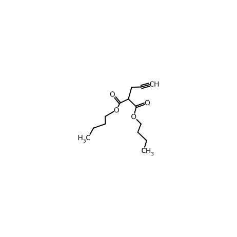 C#CCC(C(=O)OCCCC)C(=O)OCCCC